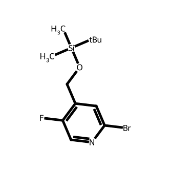 CC(C)(C)[Si](C)(C)OCc1cc(Br)ncc1F